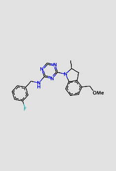 COCc1cccc2c1CC(C)N2c1ncnc(NCc2cccc(F)c2)n1